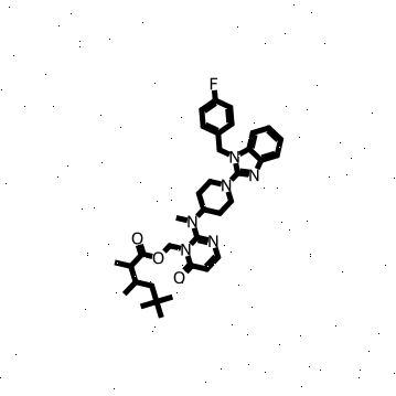 CC(CC(C)(C)C)C(C)C(=O)OCn1c(N(C)C2CCN(c3nc4ccccc4n3Cc3ccc(F)cc3)CC2)nccc1=O